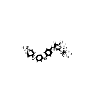 COC(=O)[C@H](Cc1ccc(O[C@H]2CC[C@H](OC3CCN(C)CC3)CC2)cc1)NC(=O)OC(C)(C)C